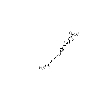 C=CC(=O)OCCCCCCOc1ccc(/C=C/C(=O)OC2CCC(C(=O)O)CC2)cc1